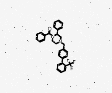 O=C(c1ccccc1)N1CCN(Cc2ccc(-c3ccccc3C(F)(F)F)cc2)CC1c1ccccc1